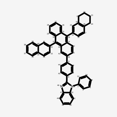 c1ccc(-n2c(-c3ccc(-c4ccc5c(-c6ccc7c(c6)CCCC7)c6ccccc6c(-c6ccc7ccccc7c6)c5c4)cc3)nc3ccccc32)cc1